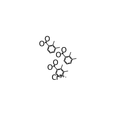 Cc1cccc(C(=O)[O-])c1C.Cc1cccc(C(=O)[O-])c1C.Cc1cccc(C(=O)[O-])c1C.[Cr+3]